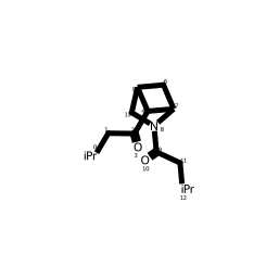 CC(C)CC(=O)C1C2CC1N(C(=O)CC(C)C)C2